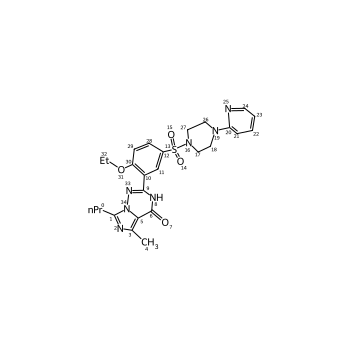 CCCc1nc(C)c2c(=O)[nH]c(-c3cc(S(=O)(=O)N4CCN(c5ccccn5)CC4)ccc3OCC)nn12